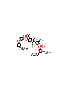 COc1ccc(Oc2ccc(OC(=O)Oc3ccc(C(C)(C)c4ccc(OC(=O)Oc5cc(OC(C)=O)cc(OC(C)=O)c5)c(C)c4)cc3C)cc2)cc1